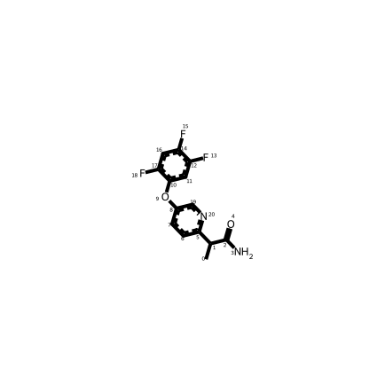 CC(C(N)=O)c1ccc(Oc2cc(F)c(F)cc2F)cn1